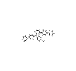 Clc1ccc2c(c1)c1c(-c3ccc(C4=CC=CCC4)cc3)cccc1n2-c1ccc(-c2ccccc2)cc1